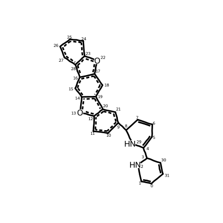 C1=CNC(C2=CC=CC(c3ccc4oc5cc6c(cc5c4c3)oc3ccccc36)N2)C=C1